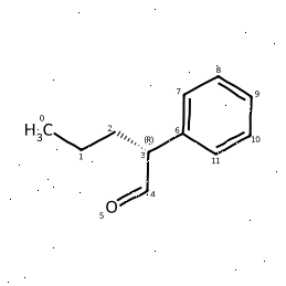 CCC[C@@H]([C]=O)c1ccccc1